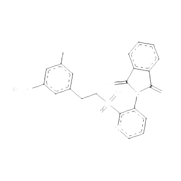 O=C(O)c1cc(Cl)cc(CCS(=O)(=O)c2ncccc2N2C(=O)c3ccccc3C2=O)c1